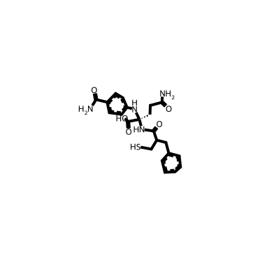 NC(=O)CC[C@@](NC(=O)C(CS)Cc1ccccc1)(Nc1ccc(C(N)=O)cc1)C(=O)O